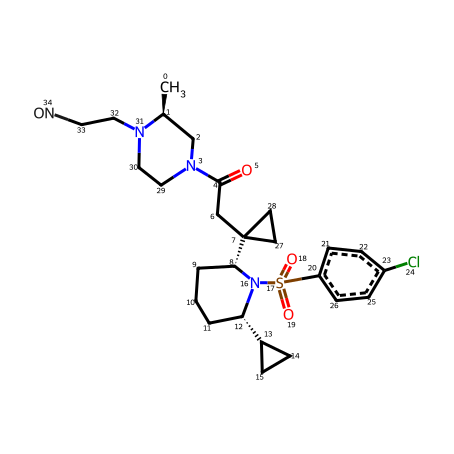 C[C@H]1CN(C(=O)CC2([C@H]3CCC[C@@H](C4CC4)N3S(=O)(=O)c3ccc(Cl)cc3)CC2)CCN1CCN=O